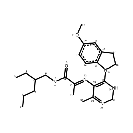 CCCC(CC)CNC(=O)/C(C)=N/C1=C(N2CCc3cc(OC)ccc32)NCN=C1C